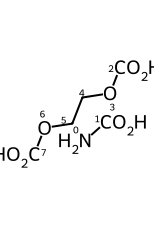 NC(=O)O.O=C(O)OCCOC(=O)O